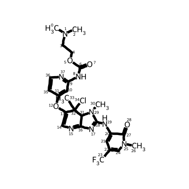 CN(C)CCOC(=O)Nc1cc(OC2=CN=C3N=C(Nc4cc(C(F)(F)F)cn(C)c4=O)N(C)C3C2(C)Cl)ccn1